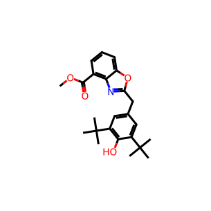 COC(=O)c1cccc2oc(Cc3cc(C(C)(C)C)c(O)c(C(C)(C)C)c3)nc12